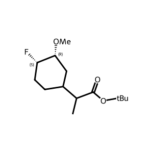 CO[C@@H]1CC(C(C)C(=O)OC(C)(C)C)CC[C@@H]1F